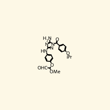 COC(C=O)Oc1ccc(Nc2nc(N)n(C(=O)c3ccc(OC(C)C)cc3)n2)cc1